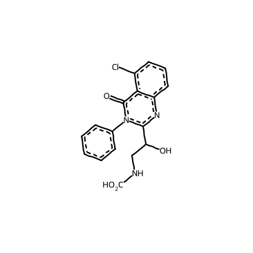 O=C(O)NCC(O)c1nc2cccc(Cl)c2c(=O)n1-c1ccccc1